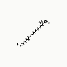 C=CN(C=O)CCCCCCCCCCCCCCCCCC